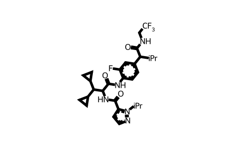 CC(C)C(C(=O)NCC(F)(F)F)c1ccc(NC(=O)C(NC(=O)c2ccnn2C(C)C)C(C2CC2)C2CC2)c(F)c1